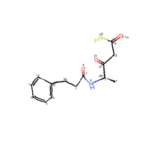 C[C@@H](NC(=O)CCc1ccccc1)C(=O)CC(=O)S